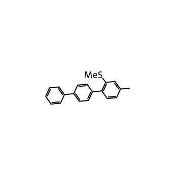 CSc1cc(C)ccc1-c1ccc(-c2ccccc2)cc1